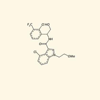 COCCn1cc(C(=O)NC(CO)c2cccc(C(F)(F)F)c2Cl)c2c(Cl)cccc21